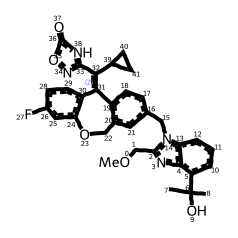 COCc1nc2c(C(C)(C)O)cccc2n1Cc1ccc2c(c1)COc1cc(F)ccc1/C2=C(\c1noc(=O)[nH]1)C1CC1